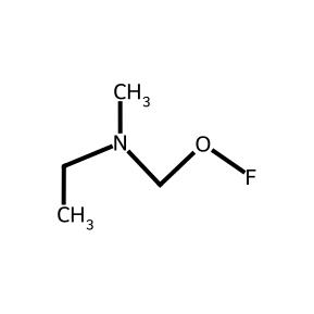 CCN(C)COF